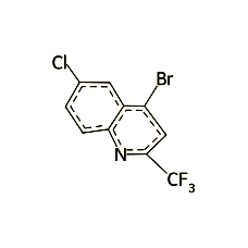 FC(F)(F)c1cc(Br)c2cc(Cl)ccc2n1